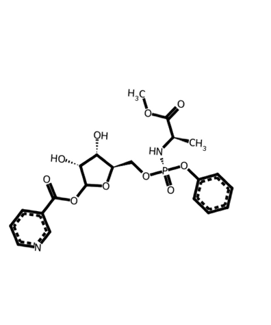 COC(=O)[C@@H](C)N[P@](=O)(OC[C@H]1OC(OC(=O)c2cccnc2)[C@H](O)[C@@H]1O)Oc1ccccc1